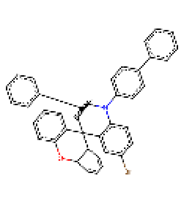 Brc1ccc2c(c1)C1(c3ccccc3OC3C=CC=CC31)c1cc(-c3ccccc3)ccc1N2c1ccc(-c2ccccc2)cc1